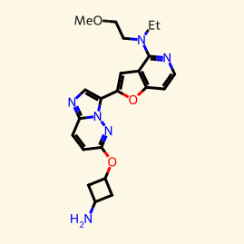 CCN(CCOC)c1nccc2oc(-c3cnc4ccc(OC5CC(N)C5)nn34)cc12